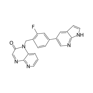 O=c1cnc2ncccc2n1Cc1ccc(-c2cnc3[nH]ccc3c2)cc1F